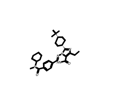 CCc1nc([C@H]2CC[C@@H](C(C)(C)C)CC2)n2nc(-c3ccc(C(=O)N(C)C4CCCCC4)cc3)[nH]c(=O)c12